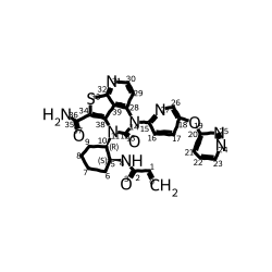 C=CC(=O)N[C@H]1CCCC[C@H]1N1C(=O)N(c2ccc(Oc3cccnn3)cn2)c2ccnc3sc(C(N)=O)c1c23